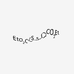 CCOC(=O)c1ccc(CSC[C@H]2C[C@H](C(=O)OCC)CS2)cc1